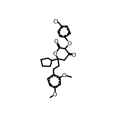 COc1ccc(CCC2(C3CCCC3)CC(=O)C(Oc3ccc(Cl)cc3)C(=O)O2)c(OC)c1